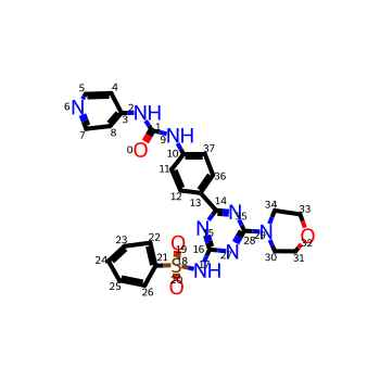 O=C(Nc1ccncc1)Nc1ccc(-c2nc(NS(=O)(=O)c3ccccc3)nc(N3CCOCC3)n2)cc1